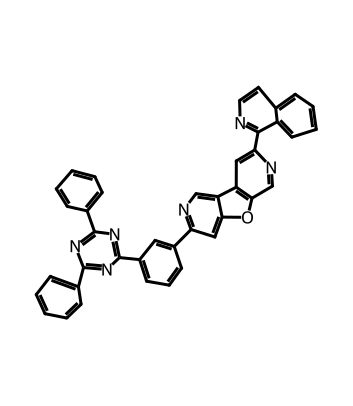 c1ccc(-c2nc(-c3ccccc3)nc(-c3cccc(-c4cc5oc6cnc(-c7nccc8ccccc78)cc6c5cn4)c3)n2)cc1